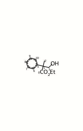 CCOC(=O)C(C)(CO)c1ccccc1